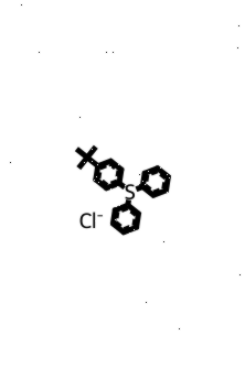 CC(C)(C)c1ccc([S+](c2ccccc2)c2ccccc2)cc1.[Cl-]